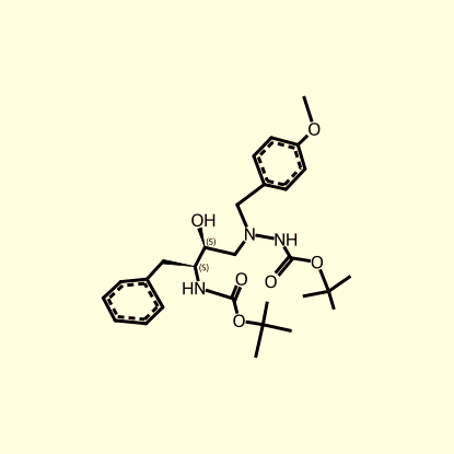 COc1ccc(CN(C[C@H](O)[C@H](Cc2ccccc2)NC(=O)OC(C)(C)C)NC(=O)OC(C)(C)C)cc1